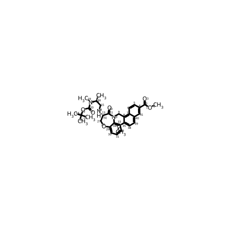 COC(=O)c1ccc2c(CN3C(=O)[C@@H](NC[C@H](C)N(C)C(=O)OC(C)(C)C)COc4ccccc43)c(OC)ccc2c1